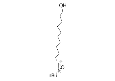 CCCC[C@H]1O[C@H]1CCCCCCCCCCO